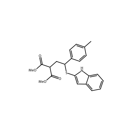 COC(=O)C(CC(Sc1cc2ccccc2[nH]1)c1ccc(C)cc1)C(=O)OC